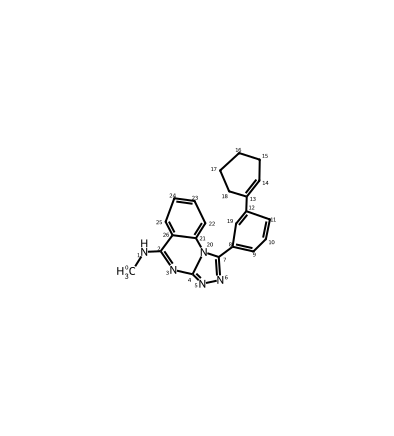 CNc1nc2nnc(-c3cccc(C4=CCCCC4)c3)n2c2ccccc12